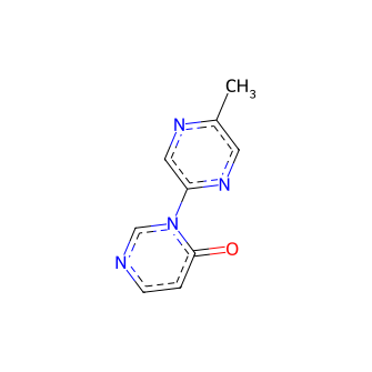 Cc1cnc(-n2cnccc2=O)cn1